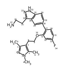 Cc1nn(C)c(C)c1CCOc1cc(F)ccc1-c1ccc2[nH]nc(CCN)c2c1